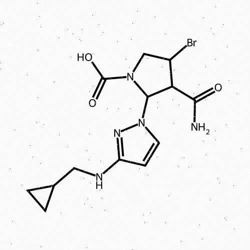 NC(=O)C1C(Br)CN(C(=O)O)C1n1ccc(NCC2CC2)n1